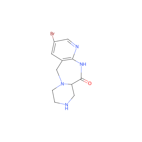 O=C1Nc2ncc(Br)cc2CN2CCNCC12